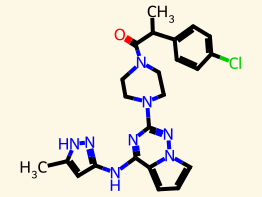 Cc1cc(Nc2nc(N3CCN(C(=O)C(C)c4ccc(Cl)cc4)CC3)nn3cccc23)n[nH]1